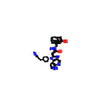 N#CC[C@H]1CC[C@H](n2c(CC(=O)NCC34CC5CC(CC(O)(C5)C3)C4)nc3cnc4[nH]ccc4c32)CC1